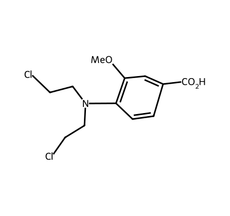 COc1cc(C(=O)O)ccc1N(CCCl)CCCl